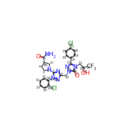 NC(=O)[C@@H]1CCN(c2nc(Cn3nc(-c4ccc(Cl)cc4)n(C[C@H](O)C(F)(F)F)c3=O)nn2-c2ccccc2Cl)C1